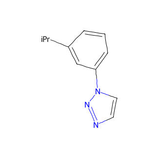 CC(C)c1cccc(-n2ccnn2)c1